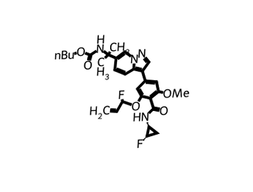 C=CC(F)Oc1cc(-c2cnn3cc(C(C)(C)NC(=O)OCCCC)ccc23)cc(OC)c1C(=O)N[C@@H]1C[C@@H]1F